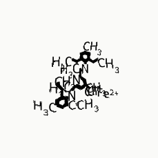 CCCc1cc(C)cc(CCC)c1N=C(C)c1cc(C)cc(C(C)=Nc2c(CCC)cc(C)cc2CCC)n1.[Cl-].[Cl-].[Fe+2]